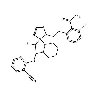 N#Cc1cccnc1OCC1CCCCN1C1(C(F)F)N=CSC1CCc1cccc(F)c1C(N)=O